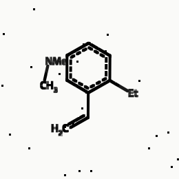 C=Cc1ccccc1CC.CNC